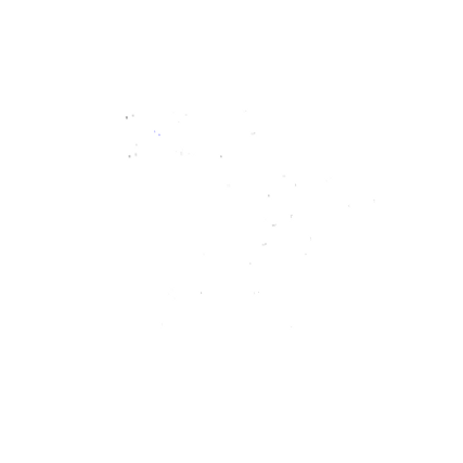 CCCC[N+](CCCC)(CCCC)CCCC.Cc1ccc(C(CCCOB(O)O)(c2ccc(C)cc2)c2ccc(C)cc2)cc1